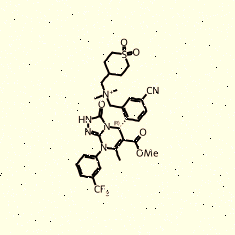 COC(=O)C1=C(C)N(c2cccc(C(F)(F)F)c2)c2n[nH]c(=O)n2[C@@H]1c1ccc(C#N)cc1C[N+](C)(C)CC1CCS(=O)(=O)CC1